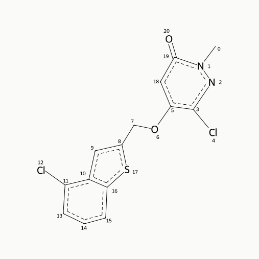 Cn1nc(Cl)c(OCc2cc3c(Cl)cccc3s2)cc1=O